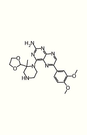 COc1ccc(-c2cnc3nc(N)nc(N4CCNCC4(C)C4OCCO4)c3n2)cc1OC